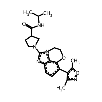 Cc1noc(C)c1-c1ccc2nc(N3CCC(C(=O)NC(C)C)C3)n3c2c1OCC3